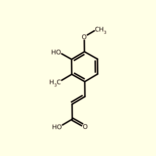 COc1ccc(C=CC(=O)O)c(C)c1O